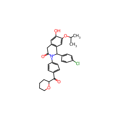 CC(C)Oc1cc2c(cc1O)CC(=O)N(c1ccc(C(=O)C3CCCCO3)cc1)C2c1ccc(Cl)cc1